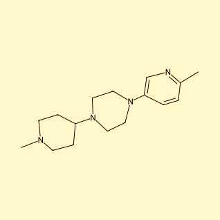 Cc1ccc(N2CCN(C3CCN(C)CC3)CC2)cn1